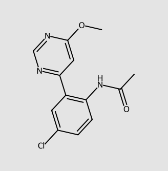 COc1cc(-c2cc(Cl)ccc2NC(C)=O)ncn1